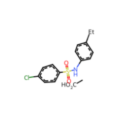 CC(=O)O.CCc1ccc(NS(=O)(=O)c2ccc(Cl)cc2)cc1